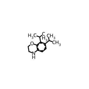 CC(C)c1ccc2c(c1C(C)C)OCCN2